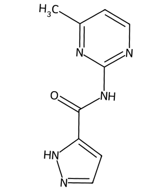 Cc1ccnc(NC(=O)c2ccn[nH]2)n1